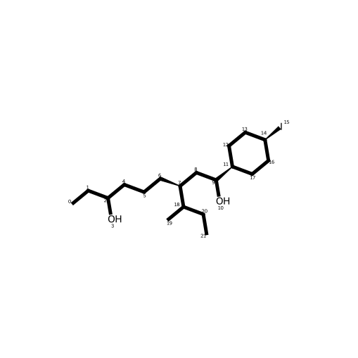 CCC(O)CCC[C@@H](CC(O)[C@H]1CC[C@@H](I)CC1)C(C)CC